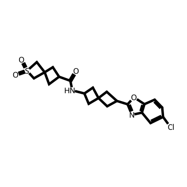 O=C(NC1CC2(C1)CC(c1nc3cc(Cl)ccc3o1)C2)C1CC2(C1)CS(=O)(=O)C2